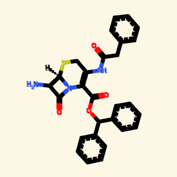 NC1C(=O)N2C(C(=O)OC(c3ccccc3)c3ccccc3)=C(NC(=O)Cc3ccccc3)CS[C@H]12